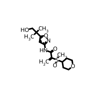 C=C(C(=O)Nc1cc(C(C)(C)CO)on1)S(=C)(=O)C1CCOCC1